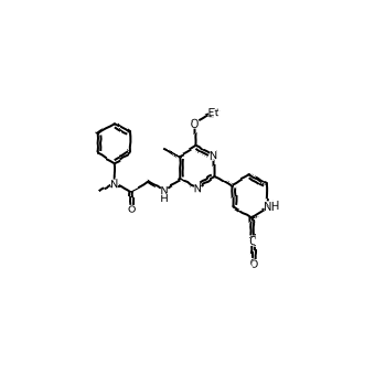 CCOc1nc(C2=CC(=C=O)NC=C2)nc(NCC(=O)N(C)c2ccccc2)c1C